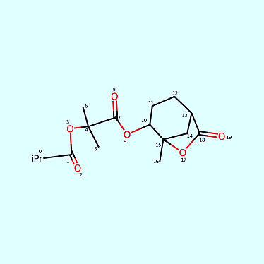 CC(C)C(=O)OC(C)(C)C(=O)OC1CCC2CC1(C)OC2=O